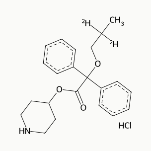 Cl.[2H]C([2H])(C)COC(C(=O)OC1CCNCC1)(c1ccccc1)c1ccccc1